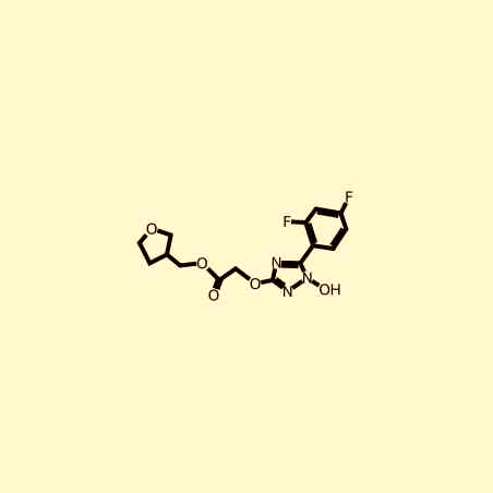 O=C(COc1nc(-c2ccc(F)cc2F)n(O)n1)OCC1CCOC1